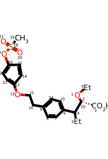 CCO[C@H](C(=O)O)C(CC)c1ccc(CCOc2ccc(OS(C)(=O)=O)cc2)cc1